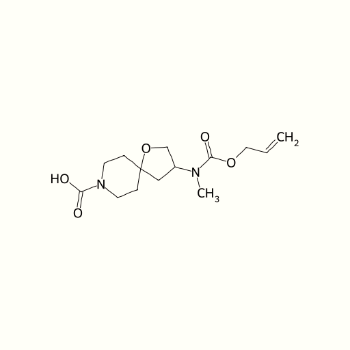 C=CCOC(=O)N(C)C1COC2(CCN(C(=O)O)CC2)C1